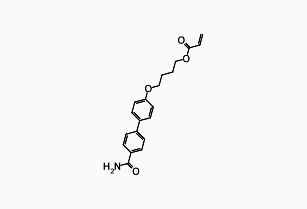 C=CC(=O)OCCCCOc1ccc(-c2ccc(C(N)=O)cc2)cc1